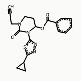 C#CCN1CCC(OC(=O)c2ccccc2)N(c2nnc(C3CC3)s2)C1=O